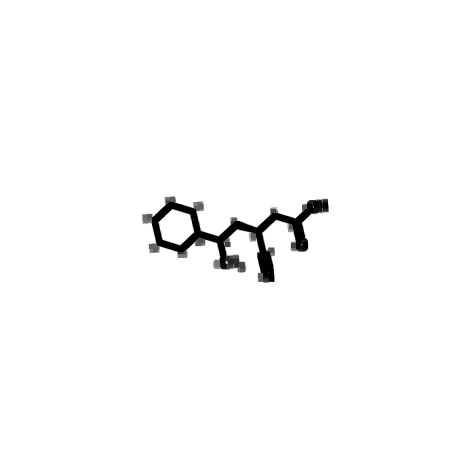 CC(C[C@H](C#N)CC(=O)O)C1CCCCC1